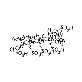 CC(=O)Nc1cc(N=Nc2cc(SCCCS(=O)(=O)O)c(N=Nc3cc(OCCCS(=O)(=O)O)c(N=Nc4c(C)c(C#N)c5nc6cc(S(=O)(=O)O)cc(C)c6n5c4O)cc3C)cc2NC(C)=O)c(SCCCS(=O)(=O)O)cc1N=Nc1ccc(Cl)c(S(=O)(=O)O)c1